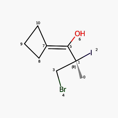 C[C@](I)(CBr)C(O)=C1CCC1